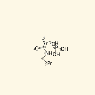 C=C(C)C(=O)NCC(C)C.O=[PH](O)O